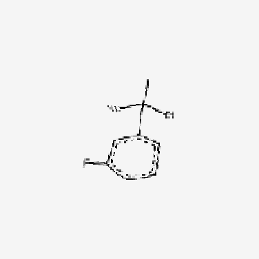 CCC(C)(C#N)c1cccc(F)c1